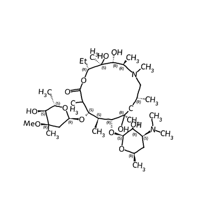 CC[C@H]1OC(=O)C(C)[C@@H](O[C@H]2C[C@@](C)(OC)[C@@H](O)[C@H](C)O2)[C@H](C)[C@@H](O[C@@H]2O[C@H](C)C[C@H](N(C)C)[C@H]2O)[C@](C)(O)C[C@@H](C)CN(C)[C@H](C)[C@@H](O)[C@]1(C)O